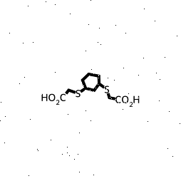 O=C(O)CSC1CCCC(SCC(=O)O)C1